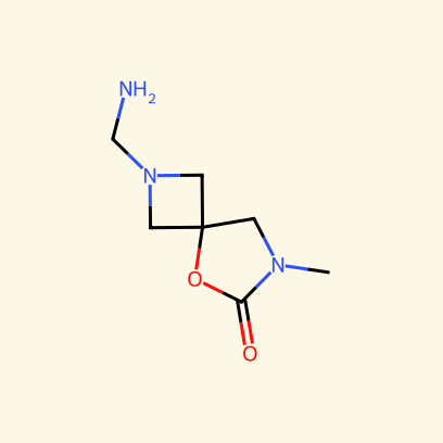 CN1CC2(CN(CN)C2)OC1=O